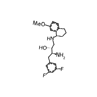 COc1ccc2c(c1)C(NC[C@@H](O)[C@@H](N)Cc1cc(F)cc(F)c1)CCC2